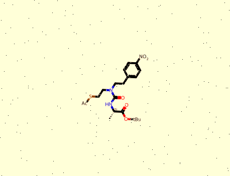 CC(=O)SCCN(CCc1ccc([N+](=O)[O-])cc1)C(=O)N[C@@H](C)C(=O)OC(C)(C)C